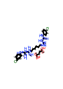 N=C(NCCCCCCNC(=N)NC(=N)Nc1ccc(Cl)cc1)NC(=N)Nc1ccc(Cl)cc1.O=C(O)CCC(=O)O